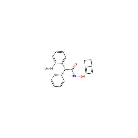 CC(=O)Nc1ccccc1C(C(=O)NO)c1ccccc1.c1cc2ccc1-2